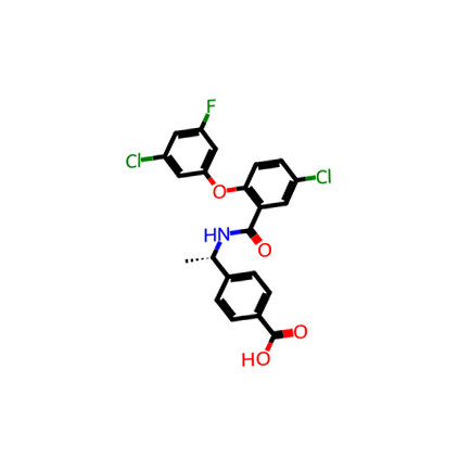 C[C@H](NC(=O)c1cc(Cl)ccc1Oc1cc(F)cc(Cl)c1)c1ccc(C(=O)O)cc1